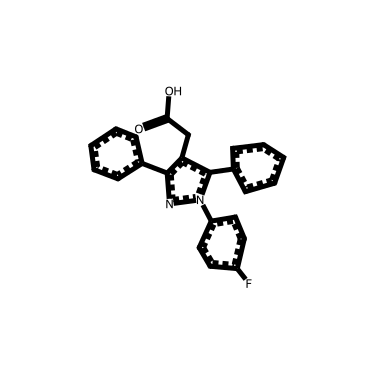 O=C(O)Cc1c(-c2ccccc2)nn(-c2ccc(F)cc2)c1-c1ccccc1